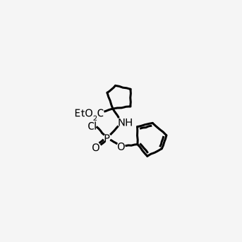 CCOC(=O)C1(NP(=O)(Cl)Oc2ccccc2)CCCC1